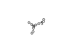 c1ccc(-c2ccc(N(c3ccc(-c4ccc(-c5cc6c(ccc7ccccc76)s5)cc4)cc3)c3ccc(-c4ccc5ccccc5c4)cc3)cc2)cc1